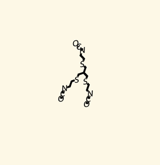 O=C=NCCSCC(CSCCN=C=O)CSCCN=C=O